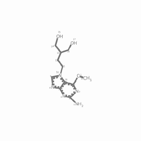 COc1nc(N)nc2ncn(CCC(CO)CO)c12